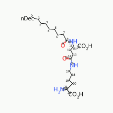 CCCCCCCCCCCCCCCCCC(=O)N[C@@H](CCC(=O)NCCCC[C@H](N)C(=O)O)C(=O)O